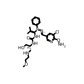 COCCNC[C@H](CO)NC(=O)NC(=C(C)C)N(/N=C/c1cnc(ON)c(Cl)c1)c1ccccc1